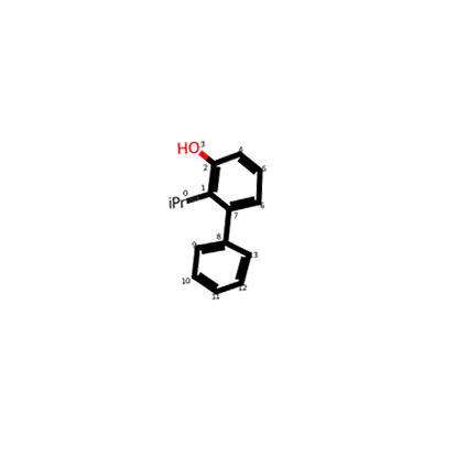 CC(C)c1c(O)cccc1-c1ccccc1